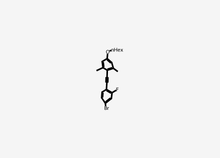 CCCCCCOc1cc(C)c(C#Cc2ccc(Br)cc2F)c(C)c1